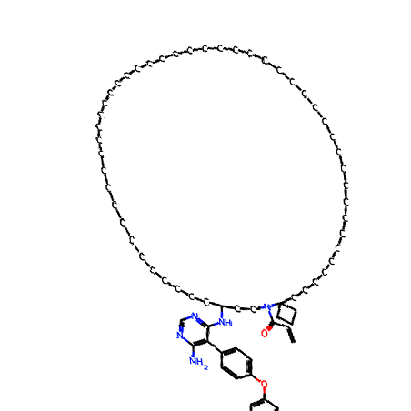 C=CC(=O)N1CCC(Nc2ncnc(N)c2-c2ccc(Oc3ccccc3)cc2)CCCCCCCCCCCCCCCCCCCCCCCCCCCCCCCCCCCCCCCCCCCCCCCC12CCC2